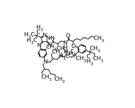 CCCCCCC(Oc1ccc(C(C)(C)CC)cc1C(C)(C)CC)C(=O)NCC(C)c1nc2n(n1)N=C(C(C)(C)C)/C2=N/c1ccc(N(CC(CC)CCCC)CC(CC)CCCC)cc1C